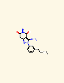 CCCc1cccc(-n2nc3c(c2N)C(=O)NC(=O)C3)c1